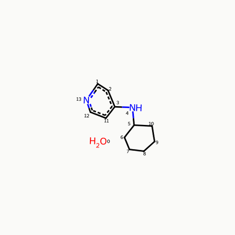 O.c1cc(NC2CCCCC2)ccn1